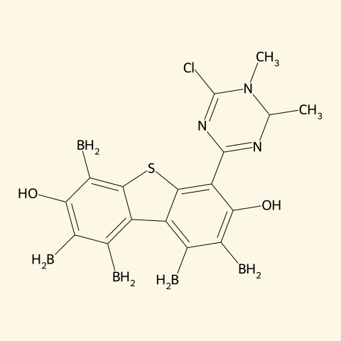 Bc1c(O)c(B)c2sc3c(C4=NC(C)N(C)C(Cl)=N4)c(O)c(B)c(B)c3c2c1B